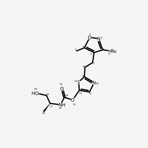 CCCCc1noc(C)c1CCc1ncc(OC(=O)N[C@@H](C)CO)s1